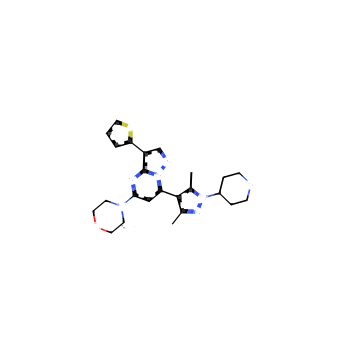 Cc1nn(C2CCNCC2)c(C)c1-c1cc(N2CCOC[C@H]2C)nc2c(-c3cccs3)cnn12